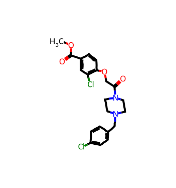 COC(=O)c1ccc(OCC(=O)N2CCN(Cc3ccc(Cl)cc3)CC2)c(Cl)c1